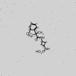 CC(C)(C(=O)NC1CC(NC(=O)O)C1)c1cccnc1Cl